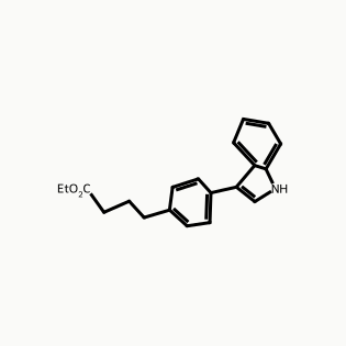 CCOC(=O)CCCc1ccc(-c2c[nH]c3ccccc23)cc1